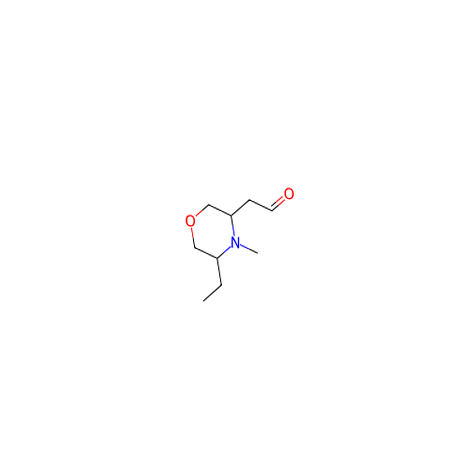 CCC1COCC(CC=O)N1C